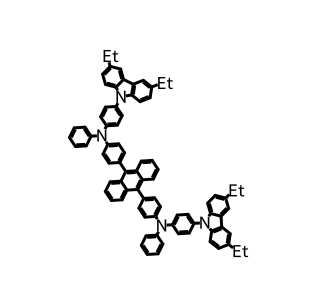 CCc1ccc2c(c1)c1cc(CC)ccc1n2-c1ccc(N(c2ccccc2)c2ccc(-c3c4ccccc4c(-c4ccc(N(c5ccccc5)c5ccc(-n6c7ccc(CC)cc7c7cc(CC)ccc76)cc5)cc4)c4ccccc34)cc2)cc1